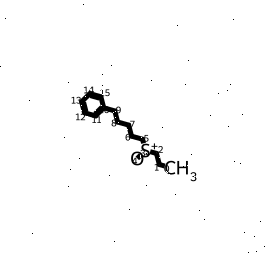 CCC[S+]([O-])CCCCCc1ccccc1